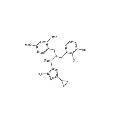 COc1ccc(CN(Cc2cccc(O)c2C)C(=O)c2cc(C3CC3)nn2C)c(OC)c1